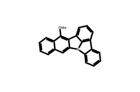 COc1c2ccccc2cc2c1c1cccc3c4ccccc4n2c31